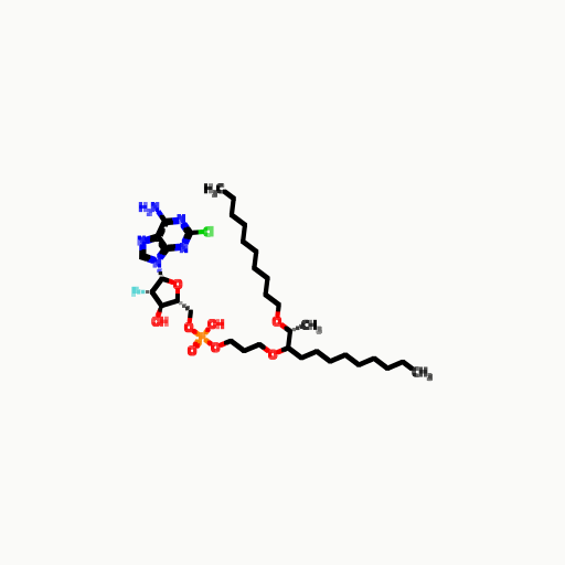 CCCCCCCCCCO[C@H](C)C(CCCCCCCCC)OCCCOP(=O)(O)OC[C@H]1O[C@@H](n2cnc3c(N)nc(Cl)nc32)[C@@H](F)[C@@H]1O